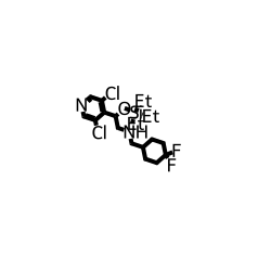 CC[Si](CC)(CC)OC(CNCC1CCC(F)(F)CC1)c1c(Cl)cncc1Cl